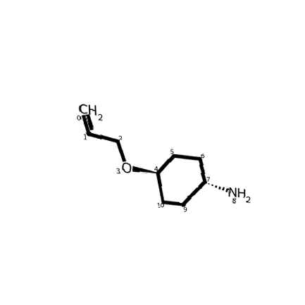 C=CCO[C@H]1CC[C@H](N)CC1